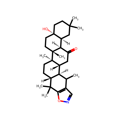 CC1c2cnoc2C(C)(C)[C@@H]2CC[C@]3(C)[C@H](CC(=O)[C@@H]4[C@@H]5CC(C)(C)CC[C@]5(O)CC[C@]43C)[C@@H]12